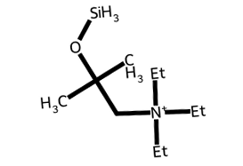 CC[N+](CC)(CC)CC(C)(C)O[SiH3]